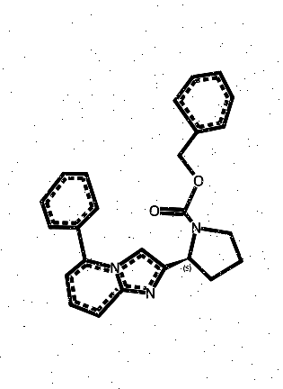 O=C(OCc1ccccc1)N1CCC[C@H]1c1cn2c(-c3ccccc3)cccc2n1